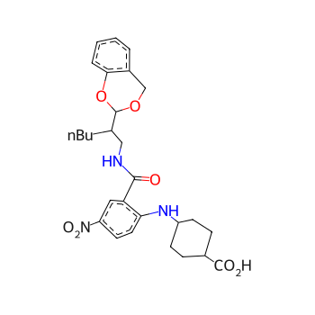 CCCCC(CNC(=O)c1cc([N+](=O)[O-])ccc1NC1CCC(C(=O)O)CC1)C1OCc2ccccc2O1